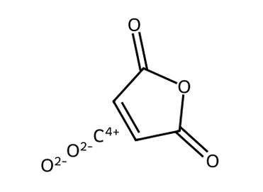 O=C1C=CC(=O)O1.[C+4].[O-2].[O-2]